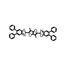 Cc1c(-c2nc3cc(-c4ccccc4)c(-c4ccccc4)cc3o2)oc2c(C)c(-c3nc4cc(-c5ccccc5)c(-c5ccccc5)cc4s3)oc12